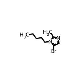 CCCCCn1c(Br)cnc1C